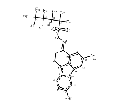 O=S(=O)(O/N=C1\CCn2c3ccc(Br)cc3c3cc(Br)cc1c32)C(F)(F)C(F)(F)C(F)(F)C(F)(F)F